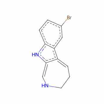 Brc1ccc2[nH]c3c(c2c1)=CCCNC=3